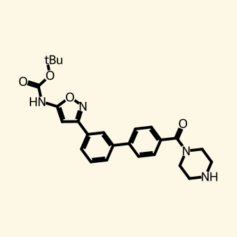 CC(C)(C)OC(=O)Nc1cc(-c2cccc(-c3ccc(C(=O)N4CCNCC4)cc3)c2)no1